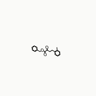 Cc1ccccc1CCC(=O)C(=O)OCc1ccccc1